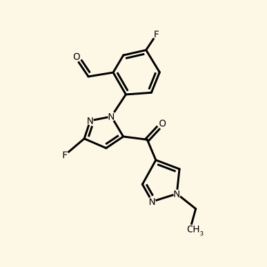 CCn1cc(C(=O)c2cc(F)nn2-c2ccc(F)cc2C=O)cn1